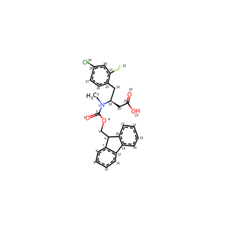 CN(C(=O)OCC1c2ccccc2-c2ccccc21)[C@H](CC(=O)O)Cc1ccc(Cl)cc1F